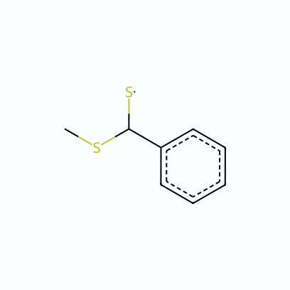 CSC([S])c1ccccc1